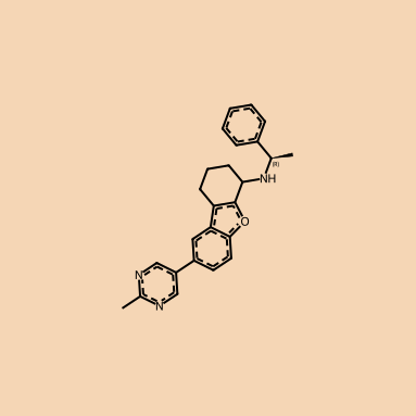 Cc1ncc(-c2ccc3oc4c(c3c2)CCCC4N[C@H](C)c2ccccc2)cn1